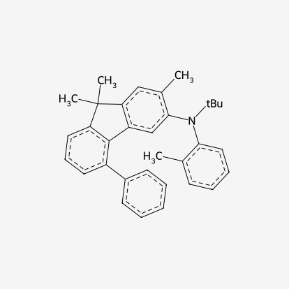 Cc1ccccc1N(c1cc2c(cc1C)C(C)(C)c1cccc(-c3ccccc3)c1-2)C(C)(C)C